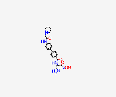 NC[C@H](NC(=O)c1ccc(-c2ccc(NC(=O)CN3CCCCC3)cc2)cc1)C(=O)NO